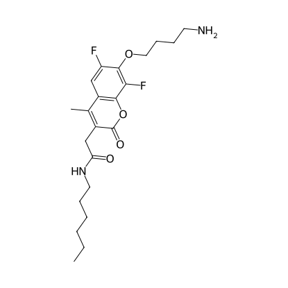 CCCCCCNC(=O)Cc1c(C)c2cc(F)c(OCCCCN)c(F)c2oc1=O